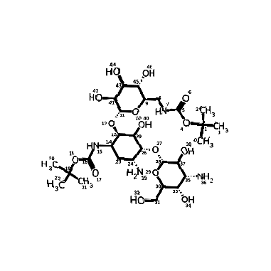 CC(C)(C)OC(=O)NCC1O[C@H](O[C@@H]2C(NC(=O)OC(C)(C)C)C[C@@H](N)[C@@H](O[C@H]3OC(CO)[C@@H](O)[C@@H](N)C3O)C2O)[C@@H](O)C(O)[C@@H]1O